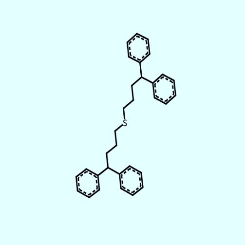 c1ccc(C(CCCSCCCC(c2ccccc2)c2ccccc2)c2ccccc2)cc1